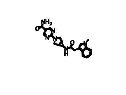 Cn1cc(CC(=O)NC2C3CN(c4ncc(C(N)=O)cn4)CC32)c2ccccc21